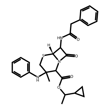 CC(OC(=O)C1N2C(=O)C(NC(=O)Cc3ccccc3)[C@H]2SCC1(C)Nc1ccccc1)C1CC1